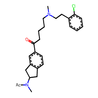 CC(=O)N(C)C1Cc2ccc(C(=O)CCCCN(C)CCc3ccccc3Cl)cc2C1